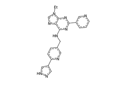 CCn1cnc2c(NCc3ccc(-c4cn[nH]c4)nc3)nc(-c3cccnc3)nc21